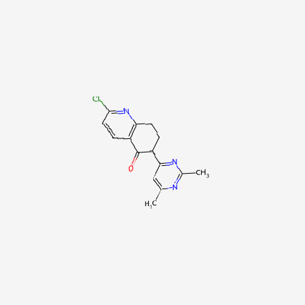 Cc1cc(C2CCc3nc(Cl)ccc3C2=O)nc(C)n1